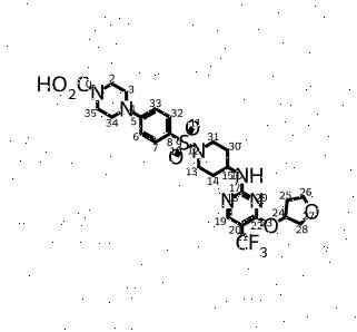 O=C(O)N1CCN(c2ccc(S(=O)(=O)N3CCC(Nc4ncc(C(F)(F)F)c(OC5CCOC5)n4)CC3)cc2)CC1